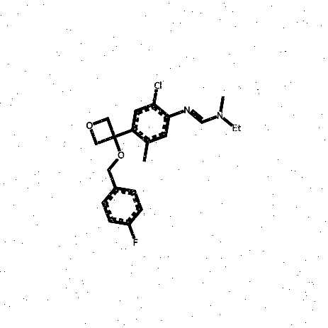 CCN(C)C=Nc1cc(C)c(C2(OCc3ccc(F)cc3)COC2)cc1Cl